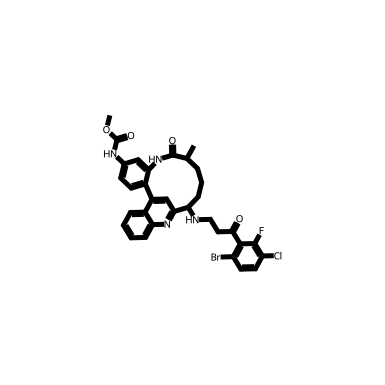 COC(=O)Nc1ccc2c(c1)NC(=O)C(C)CCCC(NCCC(=O)c1c(Br)ccc(Cl)c1F)c1cc-2c2ccccc2n1